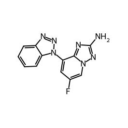 Nc1nc2c(-n3nnc4ccccc43)cc(F)cn2n1